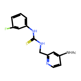 CC(=O)Nc1ccnc(CNC(=S)Nc2cccc(F)c2)c1